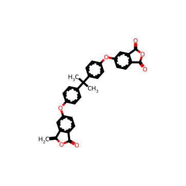 C=C1OC(=O)c2ccc(Oc3ccc(C(C)(C)c4ccc(Oc5ccc6c(c5)C(=O)OC6=O)cc4)cc3)cc21